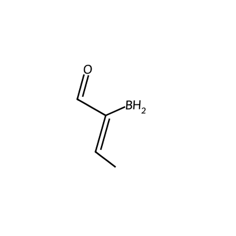 B/C(C=O)=C\C